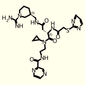 N=C(N)N1CCC[C@@H](CNC(=O)C[C@H](NC(=O)CSc2ncccn2)C(=O)N(CCNC(=O)c2cnccn2)C2CC2)C1